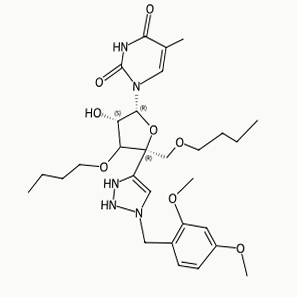 CCCCOC[C@@]1(C2=CN(Cc3ccc(OC)cc3OC)NN2)O[C@@H](n2cc(C)c(=O)[nH]c2=O)[C@@H](O)C1OCCCC